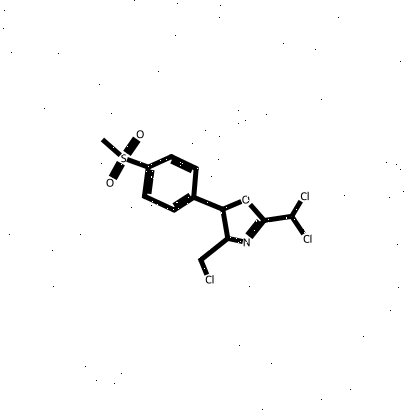 CS(=O)(=O)c1ccc(C2OC(C(Cl)Cl)=NC2CCl)cc1